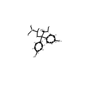 CCC(=O)C(CC(C)N(C)C)(c1ccc(F)cc1)c1ccc(F)cc1